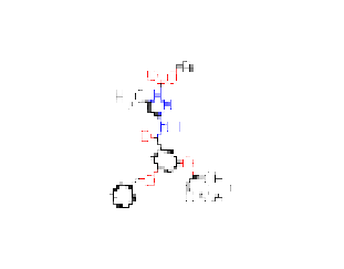 COC[C@H](C)Oc1cc(OCc2ccccc2)cc(C(=O)Nc2cc(C)n(C(=O)OC(C)(C)C)n2)c1